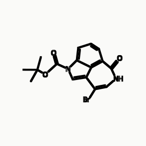 CC(C)(C)OC(=O)n1cc2c3c(cccc31)C(=O)NC=C2Br